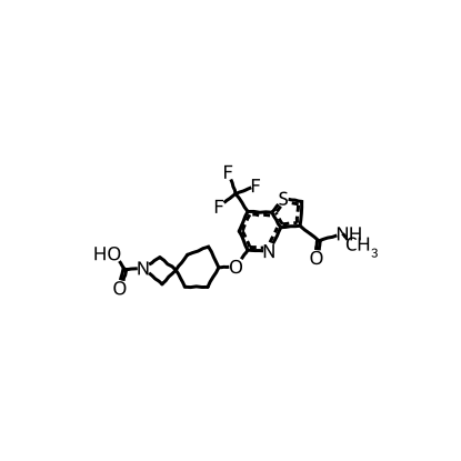 CNC(=O)c1csc2c(C(F)(F)F)cc(OC3CCC4(CC3)CN(C(=O)O)C4)nc12